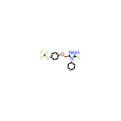 FC(F)(F)Sc1ccc(OCc2n[nH]c(=S)n2-c2ccccc2)cc1